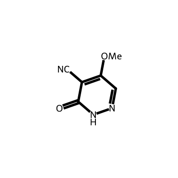 COc1cn[nH]c(=O)c1C#N